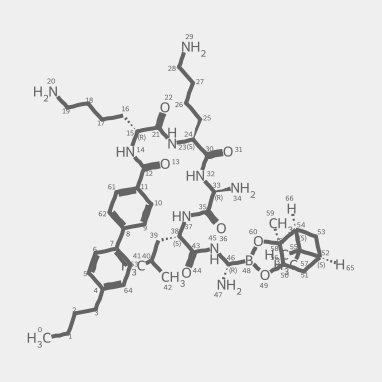 CCCCc1ccc(-c2ccc(C(=O)N[C@H](CCCCN)C(=O)N[C@@H](CCCCN)C(=O)N[C@@H](N)C(=O)N[C@@H](CC(C)C)C(=O)N[C@@H](N)B3OC4C[C@@H]5C[C@@H](C5(C)C)[C@]4(C)O3)cc2)cc1